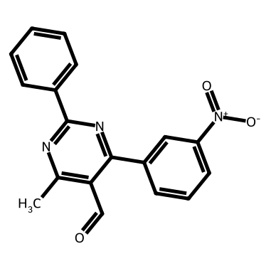 Cc1nc(-c2ccccc2)nc(-c2cccc([N+](=O)[O-])c2)c1C=O